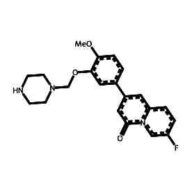 COc1ccc(-c2cc(=O)n3cc(F)ccc3c2)cc1OCN1CCNCC1